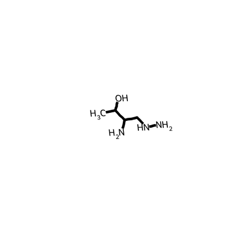 CC(O)C(N)CNN